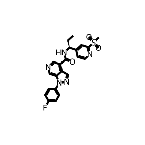 CC[C@H](NC(=O)c1cncc2c1cnn2-c1ccc(F)cc1)c1ccnc(S(C)(=O)=O)c1